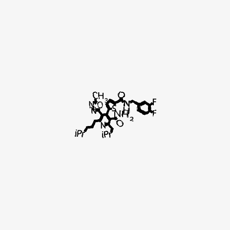 Cc1nnc(-c2c(CCCC(C)C)nc(CC(C)C)c(C(N)=O)c2-c2ccc(C(=O)NCc3ccc(F)c(F)c3)s2)o1